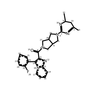 CC1=NC(N2CC3CN(C(=O)c4nc5ccccn5c4-c4ccccc4F)CC3C2)=NC(C)C1